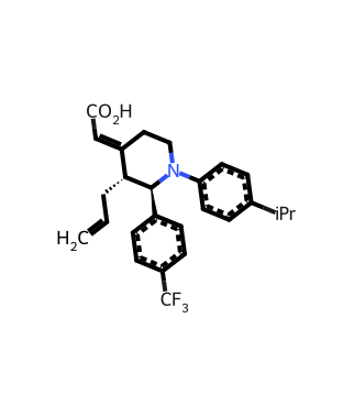 C=CC[C@@H]1/C(=C/C(=O)O)CCN(c2ccc(C(C)C)cc2)[C@H]1c1ccc(C(F)(F)F)cc1